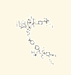 Cc1cc(N2C(=O)C(C)(C)N(c3ccc(-c4ccc(OCCOCC(=O)N[C@H](C(=O)N5C[C@H](C)C[C@H]5C(=O)NCc5ccc(-c6scnc6C)cc5)C(C)(C)C)cc4)cc3)C2=S)ccc1C#N